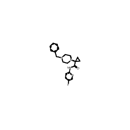 O=C(Nc1ccc(F)cn1)C1(N2CCN(Cc3ccccc3)CC2)CC1